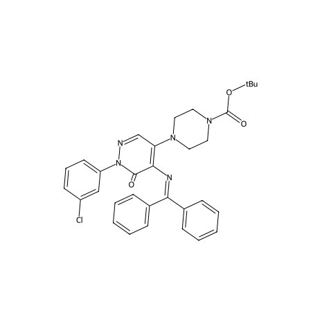 CC(C)(C)OC(=O)N1CCN(c2cnn(-c3cccc(Cl)c3)c(=O)c2N=C(c2ccccc2)c2ccccc2)CC1